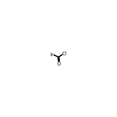 O=[C](Cl)[Ir]